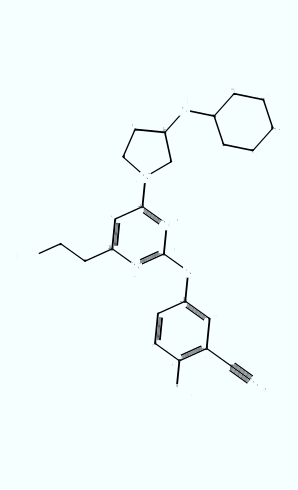 CCCc1cc(N2CCC(NC3CCCCC3)C2)nc(Nc2ccc(C)c(C#N)c2)n1